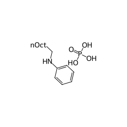 CCCCCCCCCNc1ccccc1.O=P(O)(O)O